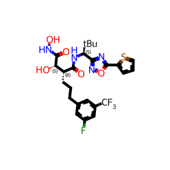 CC(C)(C)[C@H](NC(=O)[C@H](CCCc1cc(F)cc(C(F)(F)F)c1)[C@H](O)C(=O)NO)c1noc(-c2cccs2)n1